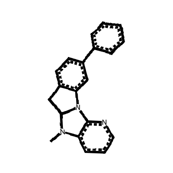 CN1c2cccnc2N2c3cc(-c4ccccc4)ccc3CC12